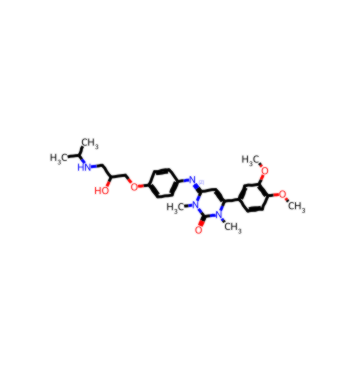 COc1ccc(-c2c/c(=N/c3ccc(OCC(O)CNC(C)C)cc3)n(C)c(=O)n2C)cc1OC